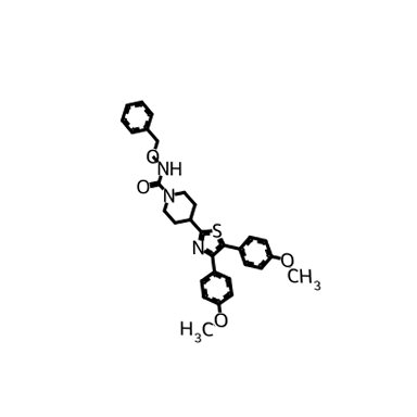 COc1ccc(-c2nc(C3CCN(C(=O)NOCc4ccccc4)CC3)sc2-c2ccc(OC)cc2)cc1